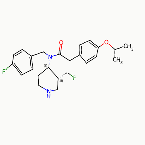 CC(C)Oc1ccc(CC(=O)N(Cc2ccc(F)cc2)[C@H]2CCNC[C@H]2CF)cc1